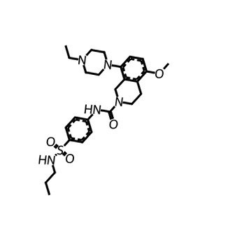 CCCNS(=O)(=O)c1ccc(NC(=O)N2CCc3c(OC)ccc(N4CCN(CC)CC4)c3C2)cc1